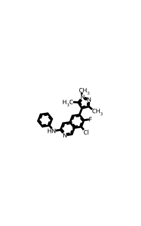 Cc1nn(C)c(C)c1-c1cc2cc(Nc3ccccc3)ncc2c(Cl)c1F